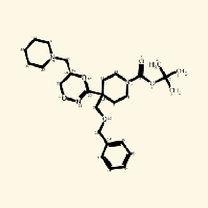 CC(C)(C)OC(=O)N1CCC(COCc2ccccc2)(C2=NOC[C@@H](CN3CCCCC3)O2)CC1